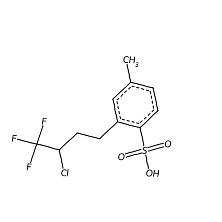 Cc1ccc(S(=O)(=O)O)c(CCC(Cl)C(F)(F)F)c1